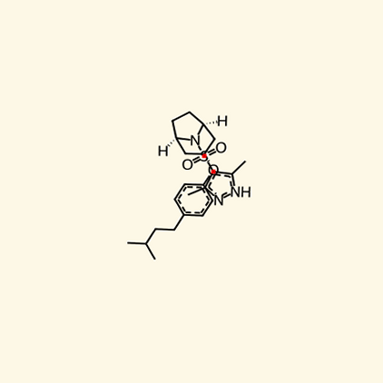 Cc1n[nH]c(C)c1S(=O)(=O)N1[C@@H]2CC[C@H]1C[C@H](Oc1ccc(CCC(C)C)cc1)C2